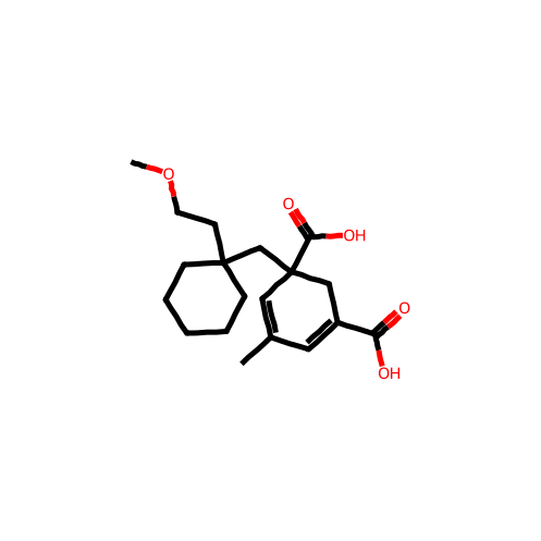 COCCC1(CC2(C(=O)O)C=C(C)C=C(C(=O)O)C2)CCCCC1